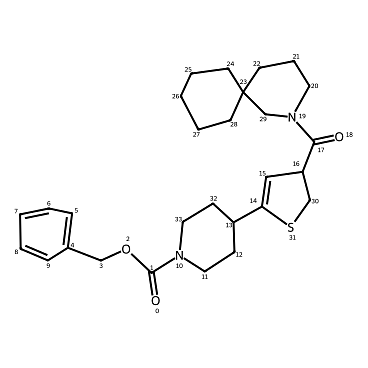 O=C(OCc1ccccc1)N1CCC(C2=CC(C(=O)N3CCCC4(CCCCC4)C3)CS2)CC1